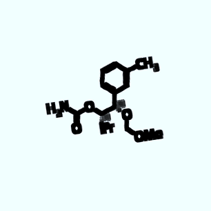 COCO[C@@H](c1cccc(C)c1)[C@@H](OC(N)=O)C(C)C